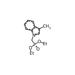 CCOP(=O)(Cn1cc(C)c2ccccc21)OCC